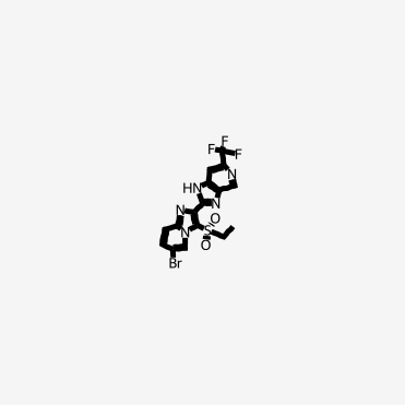 CCS(=O)(=O)c1c(-c2nc3cnc(C(F)(F)F)cc3[nH]2)nc2ccc(Br)cn12